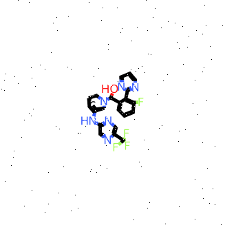 OC(c1cccc(F)c1-c1ncccn1)N1CC2CCC1C(Nc1cnc(C(F)(F)F)cn1)C2